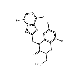 O=C(O)CC1Sc2c(F)cc(F)cc2N(Cc2nc3c(F)ccc(F)c3s2)C1=O